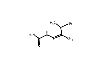 C/C(=N/NC(N)=S)C(C)C(C)C